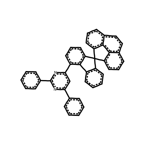 c1ccc(-c2cc(-c3cccc4c3-c3ccccc3C43c4cccc5ccc6cccc3c6c45)nc(-c3ccccc3)n2)cc1